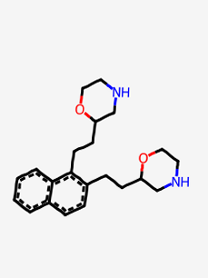 c1ccc2c(CCC3CNCCO3)c(CCC3CNCCO3)ccc2c1